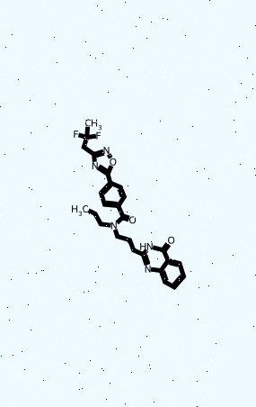 CCCN(CCCc1nc2ccccc2c(=O)[nH]1)C(=O)c1ccc(-c2nc(CC(C)(F)F)no2)cc1